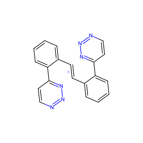 C(=C\c1ccccc1-c1ccnnn1)/c1ccccc1-c1ccnnn1